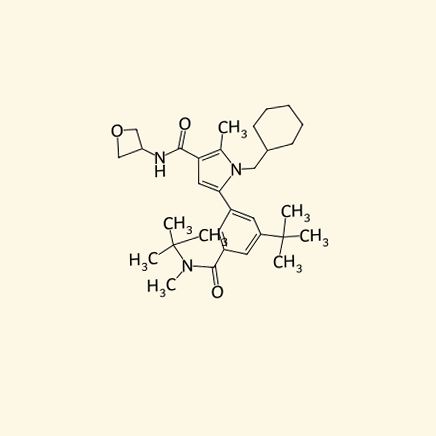 Cc1c(C(=O)NC2COC2)cc(-c2cc(C(=O)N(C)C(C)(C)C)cc(C(C)(C)C)c2)n1CC1CCCCC1